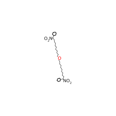 O=[N+]([O-])C(CCCCCCCCCCOCCCCCCCCCCC(c1ccccc1)[N+](=O)[O-])c1ccccc1